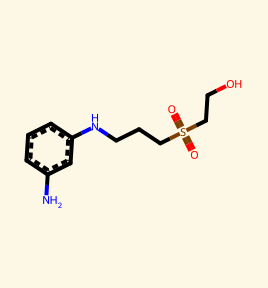 Nc1cccc(NCCCS(=O)(=O)CCO)c1